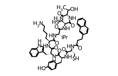 CC(C)[C@H](NC(=O)[C@H](CCCCN)NC(=O)[C@@H](Cc1c[nH]c2ccccc12)NC(=O)[C@H](Cc1ccc(O)cc1)NC(=O)[C@@H](CS)NC(=O)CCc1ccc2ccccc2c1)C(=O)N[C@@H](CS)C(=O)N[C@H](C(N)=O)[C@@H](C)O